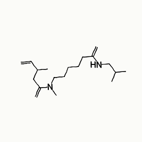 C=CC(C)CC(=C)N(C)CCCCCC(=C)NCC(C)C